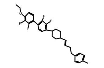 CCOc1ccc(-c2ccc(C3CCC(/C=C/CCc4ccc(C)cc4)CC3)c(F)c2F)c(F)c1F